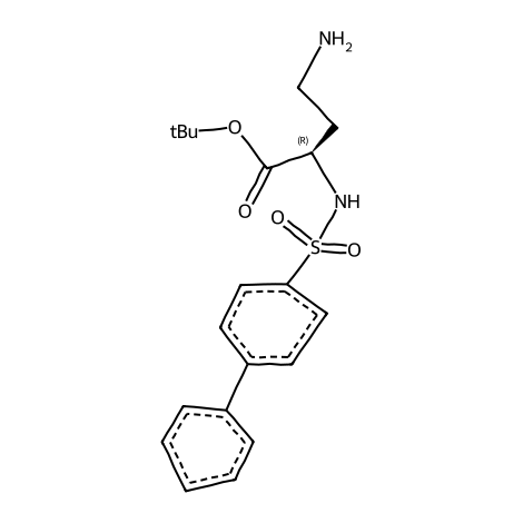 CC(C)(C)OC(=O)[C@@H](CCN)NS(=O)(=O)c1ccc(-c2ccccc2)cc1